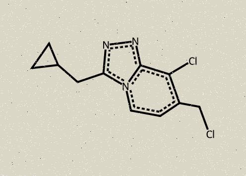 ClCc1ccn2c(CC3CC3)nnc2c1Cl